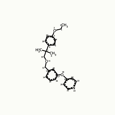 CCOc1ccc(C(C)(C)COCc2cccc(Oc3ccncc3)c2)cc1